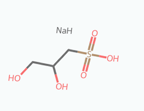 O=S(=O)(O)CC(O)CO.[NaH]